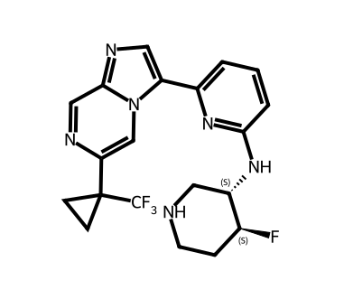 F[C@H]1CCNC[C@@H]1Nc1cccc(-c2cnc3cnc(C4(C(F)(F)F)CC4)cn23)n1